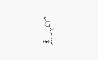 C=C(CCCCC(=C)c1ccc(SC)cc1)NC